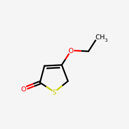 CCOC1=CC(=O)SC1